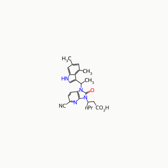 CCCC(CC(=O)O)n1c(=O)n(C(C)c2c[nH]c3cc(C)cc(C)c23)c2ccc(C#N)nc21